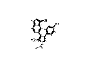 N#Cc1cnc2ccc(-c3c(-c4ccc(F)cc4)nn(SF)c3C(F)(F)F)cn12